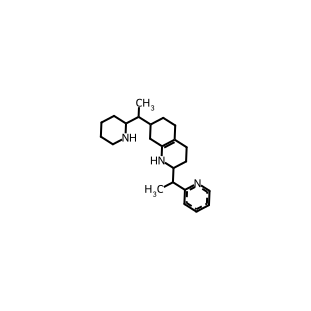 CC(c1ccccn1)C1CCC2=C(CC(C(C)C3CCCCN3)CC2)N1